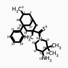 CC1CC2CC(C)(C(=S)N3CCC(N)C(C)(C)C3)CC(c3ccccc3)(C1)C2